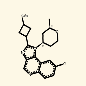 COC1CC(c2nc3cnc4ccc(Cl)cc4c3n2[C@@H]2CCO[C@H](C)C2)C1